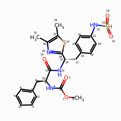 COC(=O)N[C@@H](Cc1ccccc1)C(=O)N[C@@H](Cc1ccc(N[SH](=O)=O)cc1)c1nc(C)c(C)s1